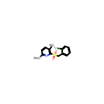 COc1ccc([N+](=O)[O-])c(S(=O)(=O)Cc2ccccc2Cl)n1